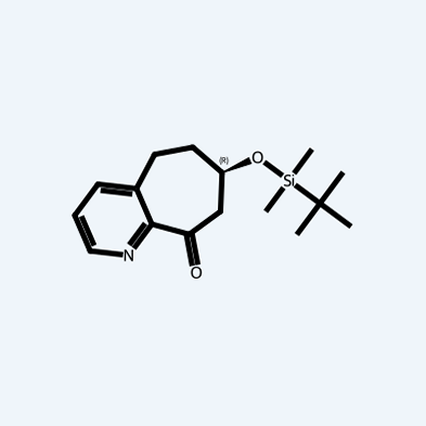 CC(C)(C)[Si](C)(C)O[C@@H]1CCc2cccnc2C(=O)C1